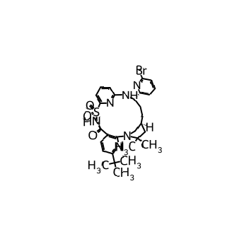 CC(C)(C)c1ccc2c(n1)N1C[C@@H](CC[C@@H](c3cccc(Br)n3)Nc3cccc(n3)S(=O)(=O)NC2=O)CC1(C)C